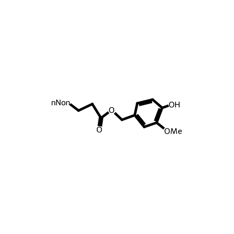 CCCCCCCCCCCC(=O)OCc1ccc(O)c(OC)c1